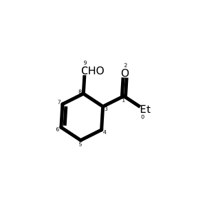 CCC(=O)C1CCC=CC1C=O